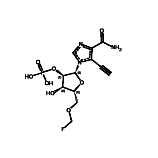 C#Cc1c(C(N)=O)ncn1[C@@H]1O[C@H](COCF)[C@@H](O)[C@H]1OP(=O)(O)O